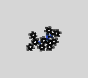 c1ccc(-c2cc(-c3ccccc3)cc(-n3c4ccccc4c4c5c6c7ccccc7c7ccccc7c6n(-c6nc(-c7ccccc7)c7ccccc7n6)c5ccc43)c2)cc1